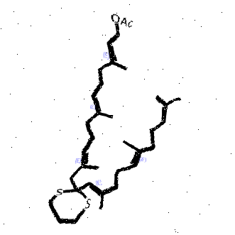 CC(=O)OC/C=C(\C)CC/C=C(\C)CC/C=C(\C)CC1(/C=C(\C)CC/C=C(\C)CCC=C(C)C)SCCCS1